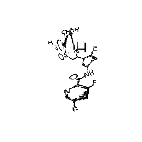 CC1(C)C(=N)NC(c2cc(NC(=O)c3ncc(F)cc3F)ccc2F)C[S+]1[O-]